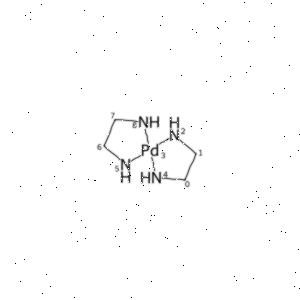 C1C[NH][Pd]2([NH]1)[NH]CC[NH]2